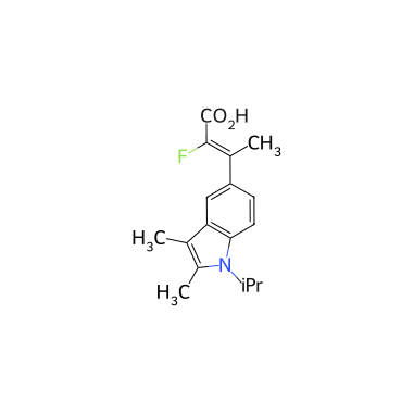 CC(=C(F)C(=O)O)c1ccc2c(c1)c(C)c(C)n2C(C)C